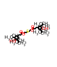 CC(C)(C)C1=C(O)C(C(C)(C)C)CC(CCC(=O)OCCSCCOC(=O)CCc2cc(C(C)(C)C)c(O)c(C(C)(C)C)c2)=C1